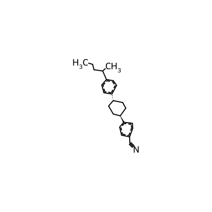 CCCC(C)c1ccc([C@H]2CC[C@H](c3ccc(C#N)cc3)CC2)cc1